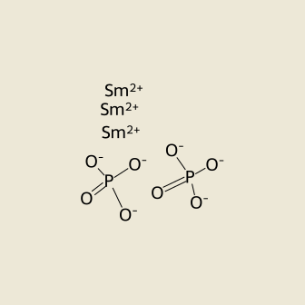 O=P([O-])([O-])[O-].O=P([O-])([O-])[O-].[Sm+2].[Sm+2].[Sm+2]